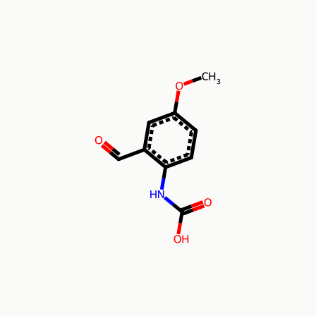 COc1ccc(NC(=O)O)c(C=O)c1